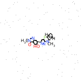 CN(c1ccc(-c2cc3ncn(C)c(=O)c3cc2O)nn1)[C@@H]1C[C@H]2CC[C@H](C2)[C@@H]1F